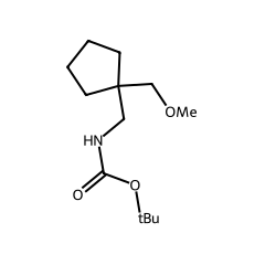 COCC1(CNC(=O)OC(C)(C)C)CCCC1